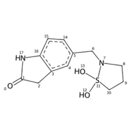 O=C1Cc2cc(CN3CCCS3(O)O)ccc2N1